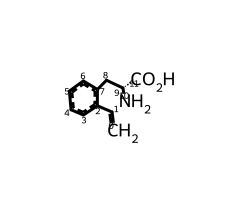 C=Cc1ccccc1C[C@@H](N)C(=O)O